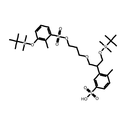 Cc1ccc(S(=O)(=O)O)cc1C(COCCCOS(=O)(=O)c1cccc(O[Si](C)(C)C(C)(C)C)c1C)CO[Si](C)(C)C(C)(C)C